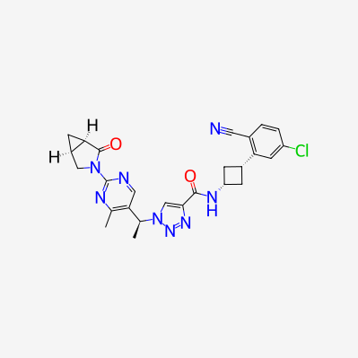 Cc1nc(N2C[C@H]3C[C@H]3C2=O)ncc1[C@H](C)n1cc(C(=O)N[C@H]2C[C@@H](c3cc(Cl)ccc3C#N)C2)nn1